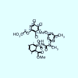 COC(=O)c1ccccc1S(=O)(=O)NC(=O)N(C)c1nc(C)nc(OC)n1.O=C(O)COc1nc(Cl)c(Cl)cc1Cl